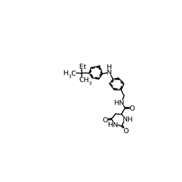 CCC(C)(C)c1ccc(Nc2ccc(CNC(=O)C3CC(=O)NC(=O)N3)cc2)cc1